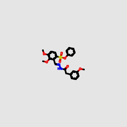 COc1cccc(CC(=O)NN=Cc2c(S(=O)(=O)Oc3ccccc3)ccc(OC)c2OC)c1